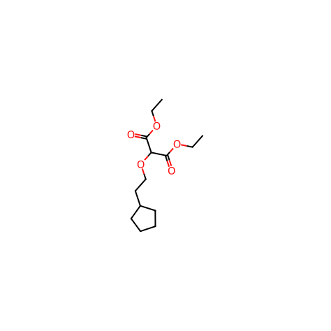 CCOC(=O)C(OCCC1CCCC1)C(=O)OCC